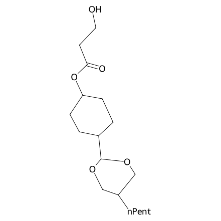 CCCCCC1COC(C2CCC(OC(=O)CCO)CC2)OC1